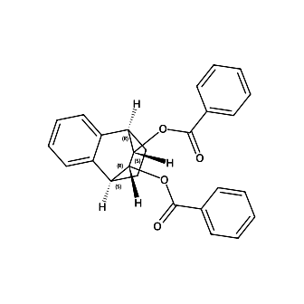 O=C(O[C@@H]1[C@H](OC(=O)c2ccccc2)[C@H]2CC[C@@H]1c1ccccc12)c1ccccc1